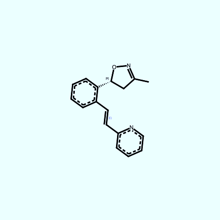 CC1=NO[C@@H](c2ccccc2/C=C/c2ccccn2)C1